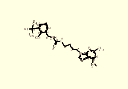 Cc1nc(N)c2ncn(CCCCOC(=O)NCc3cccc(C(C)(C)F)c3Cl)c2n1